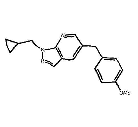 COc1ccc(Cc2cnc3c(cnn3CC3CC3)c2)cc1